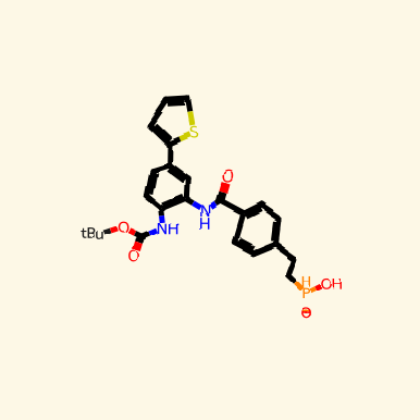 CC(C)(C)OC(=O)Nc1ccc(-c2cccs2)cc1NC(=O)c1ccc(CC[PH](=O)O)cc1